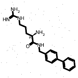 N=C(N)NCCC[C@@H](N)C(=O)NCc1ccc(-c2ccccc2)cc1